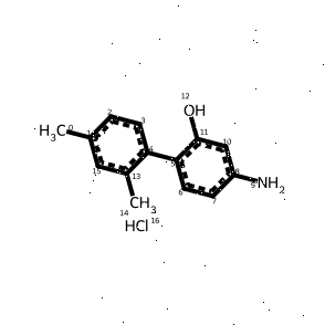 Cc1ccc(-c2ccc(N)cc2O)c(C)c1.Cl